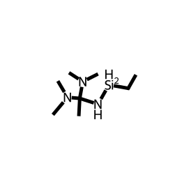 CC[SiH2]NC(C)(N(C)C)N(C)C